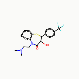 CN(C)CCN1C(=O)C(O)C(c2ccc(C(F)(F)F)cc2)Sc2ccccc21